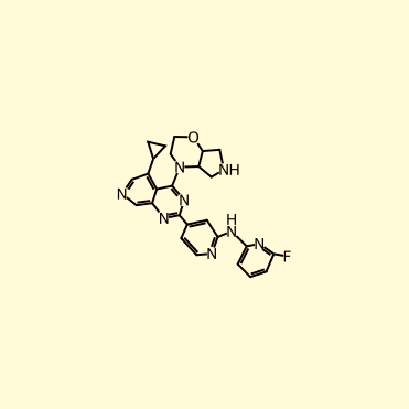 Fc1cccc(Nc2cc(-c3nc(N4CCOC5CNCC54)c4c(C5CC5)cncc4n3)ccn2)n1